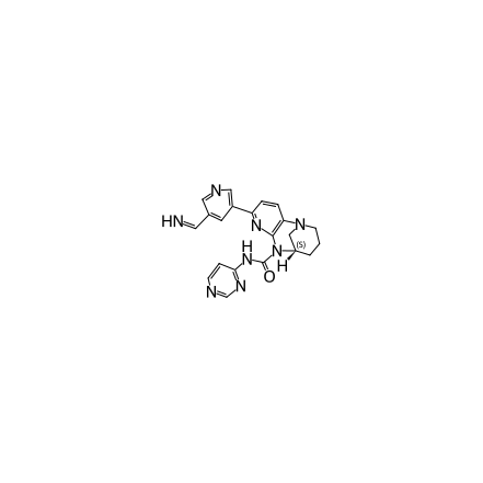 N=Cc1cncc(-c2ccc3c(n2)N(C(=O)Nc2ccncn2)[C@H]2CCCN3C2)c1